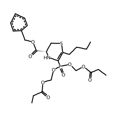 CCCCC1=C(P(=O)(OCOC(=O)CC)OCOC(=O)CC)N[C@H](C(=O)OCc2ccccc2)CS1